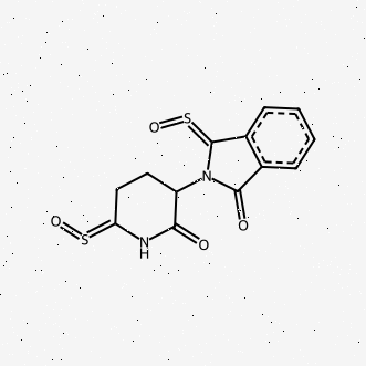 O=S=C1CCC(N2C(=O)c3ccccc3C2=S=O)C(=O)N1